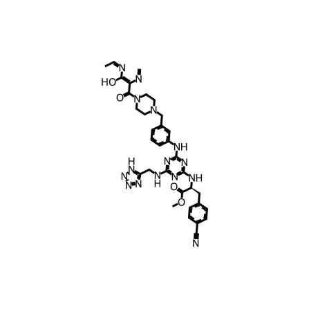 C=N/C(C(=O)N1CCN(Cc2cccc(Nc3nc(NCc4nnn[nH]4)nc(N[C@@H](Cc4ccc(C#N)cc4)C(=O)OC)n3)c2)CC1)=C(O)\N=C/C